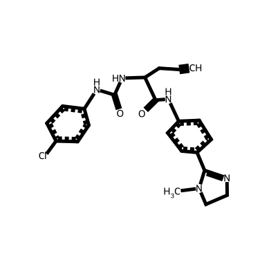 C#CCC(NC(=O)Nc1ccc(Cl)cc1)C(=O)Nc1ccc(C2=NCCN2C)cc1